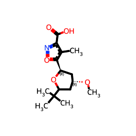 CO[C@@H]1CC(C(C)(C)C)O[C@@H](c2onc(C(=O)O)c2C)C1